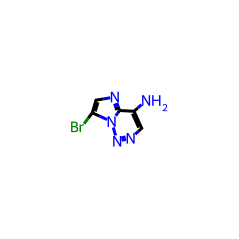 Nc1cnnn2c(Br)cnc12